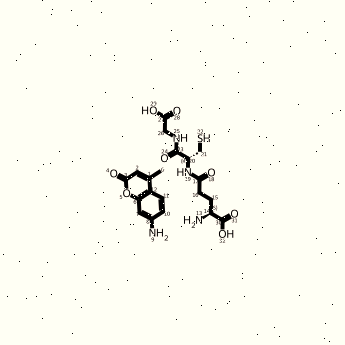 Cc1cc(=O)oc2cc(N)ccc12.N[C@@H](CCC(=O)N[C@@H](CS)C(=O)NCC(=O)O)C(=O)O